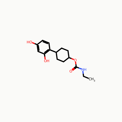 CCNC(=O)OC1CCC(c2ccc(O)cc2O)CC1